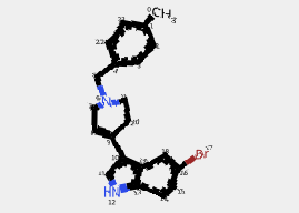 Cc1ccc(CN2CC=C(c3c[nH]c4ccc(Br)cc34)CC2)cc1